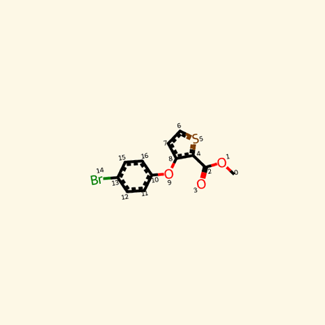 COC(=O)c1sccc1Oc1ccc(Br)cc1